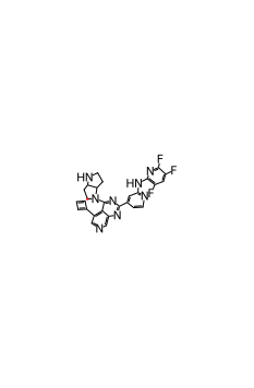 Fc1cc(F)c(Nc2cc(-c3nc(N4CCC5NCCC54)c4c(C5=CC=C5)cncc4n3)ccn2)nc1F